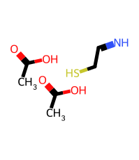 CC(=O)O.CC(=O)O.N=CCS